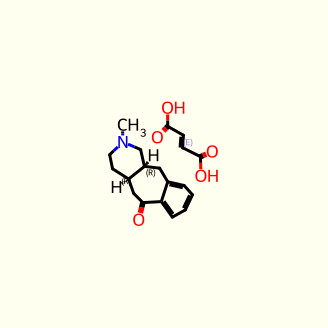 CN1CC[C@@H]2CC(=O)c3ccccc3C[C@H]2C1.O=C(O)/C=C/C(=O)O